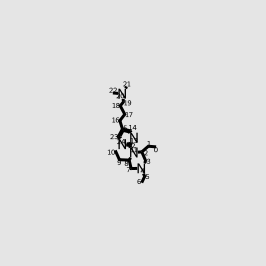 CCC1CN(CC)CC(CC)N1c1ncc(CCCCN(C)C)cn1